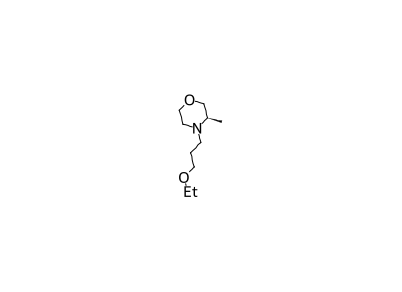 CCOCCCN1CCOC[C@H]1C